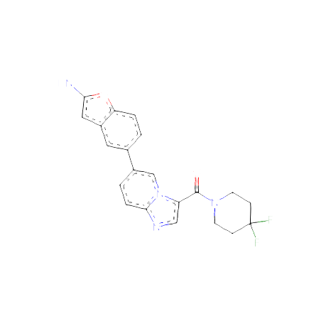 Nc1cc2cc(-c3ccc4ncc(C(=O)N5CCC(F)(F)CC5)n4c3)ccc2o1